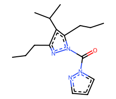 CCCc1nn(C(=O)n2cccn2)c(CCC)c1C(C)C